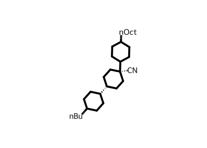 CCCCCCCCC1CCC([C@]2(C#N)CC[C@@H](C3CCC(CCCC)CC3)CC2)CC1